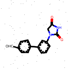 O=Cc1ccc(-c2cccc(N3CC(=O)NC3=O)c2)cc1